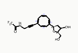 O=C(NCC#CC1=C/C=C\C=C([C@H]2CC(O)[C@@H](CO)O2)/C=C\1)C(F)(F)F